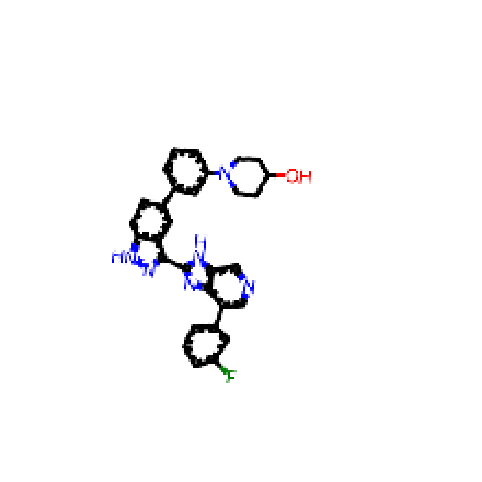 OC1CCN(c2cccc(-c3ccc4[nH]nc(-c5nc6c(-c7cccc(F)c7)cncc6[nH]5)c4c3)c2)CC1